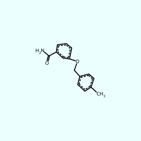 Cc1ccc(COc2cccc(C(N)=O)c2)cc1